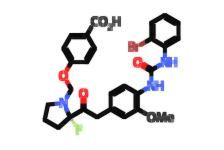 COc1cc(CC(=O)[C@@]2(F)CCCN2COc2ccc(C(=O)O)cc2)ccc1NC(=O)Nc1ccccc1Br